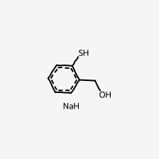 OCc1ccccc1S.[NaH]